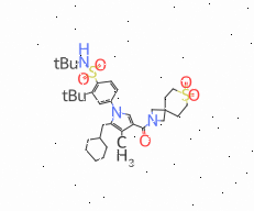 Cc1c(C(=O)N2CC3(CCS(=O)(=O)CC3)C2)cn(-c2ccc(S(=O)(=O)NC(C)(C)C)c(C(C)(C)C)c2)c1CC1CCCCC1